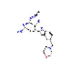 CCCc1nc2nc(N)cc(-c3cc4cc(CN5CCOCC5)ccc4[nH]3)c2[nH]1